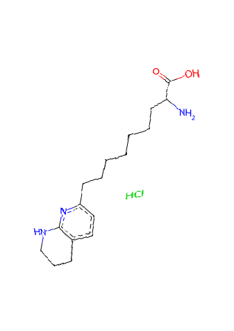 Cl.NC(CCCCCCCc1ccc2c(n1)NCCC2)C(=O)O